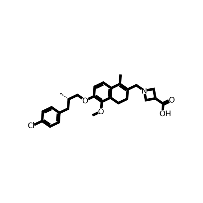 COc1c(OC[C@@H](C)Cc2ccc(Cl)cc2)ccc2c1CCC(CN1CC(C(=O)O)C1)=C2C